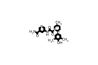 Cc1cc([C@@H]2CC[C@@H](C)CN2C(=O)C(=O)Nc2cncc(C(N)=O)c2)cc(C)c1O